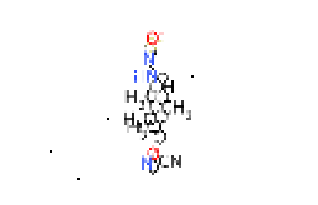 CC1(C)C(C2=CCC(COc3ncccc3C#N)CC2)=CCC2(C)C1CCC1(C)C3CCC4(NCCN5CC[S+]([O-])CC5)CCC[C@@H]4C3CCC12